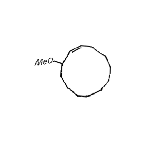 COC1C=CCCCCCCCCC1